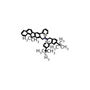 CC(C)(C)c1ccc2c(c1)-c1cc(C(C)(C)C)cc[n+]1/C(=C1\Cc3cc4c(cc3-c3cccc[n+]31)-c1ccc3ccccc3c1C4(C)C)C2